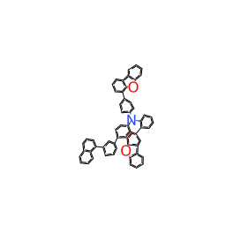 c1cc(-c2ccc(N(c3ccc(-c4cccc5c4oc4ccccc45)cc3)c3ccccc3-c3ccc4oc5ccccc5c4c3)cc2)cc(-c2cccc3ccccc23)c1